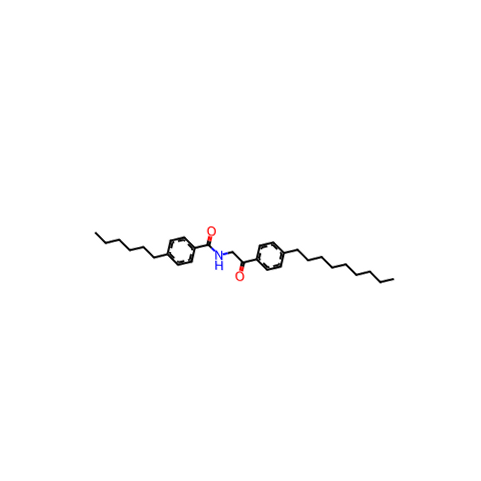 CCCCCCCCCc1ccc(C(=O)CNC(=O)c2ccc(CCCCCC)cc2)cc1